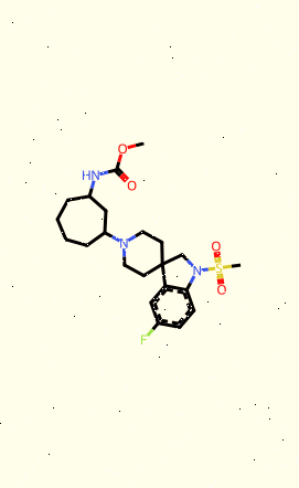 COC(=O)NC1CCCCC(N2CCC3(CC2)CN(S(C)(=O)=O)c2ccc(F)cc23)C1